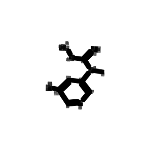 CN(C(=N)OC(C)(C)C)c1cncc(Br)c1